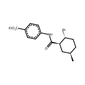 CCOC(=O)c1ccc(NC(=O)[C@@H]2C[C@H](C)CC[C@H]2C(C)C)cc1